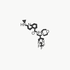 O=C(NCC(c1cnc(C(F)(F)F)nc1)N1CCCOCC1)c1cccc2nc(NC3CC3)ccc12